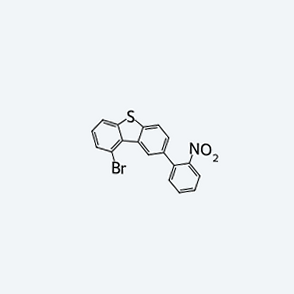 O=[N+]([O-])c1ccccc1-c1ccc2sc3cccc(Br)c3c2c1